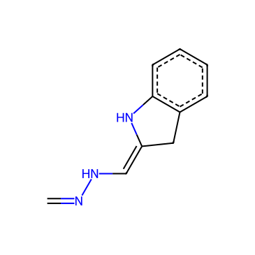 C=NNC=C1Cc2ccccc2N1